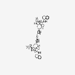 CC(C)(C)OC(=O)N[C@H]1CC[C@H](n2cc(COCc3cn([C@H]4CC[C@H](NC(=O)OC(C)(C)C)C(=O)N5[C@H](CC[C@H]5C(=O)N[C@@H]5CCCc6ccccc65)C4)nn3)nn2)C[C@H]2CC[C@@H](C(=O)N[C@@H]3CCCc4ccccc43)N2C1=O